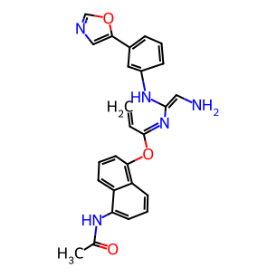 C=C/C(=N\C(=C/N)Nc1cccc(-c2cnco2)c1)Oc1cccc2c(NC(C)=O)cccc12